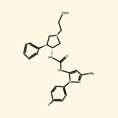 COCCN1C[C@H](NC(=O)Nc2cc(C(C)(C)C)nn2-c2ccc(F)cc2)[C@@H](c2ccccc2)C1